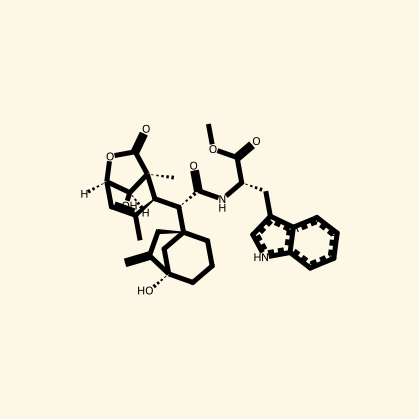 C=C1C[C@@]2([C@@H](C(=O)N[C@@H](Cc3c[nH]c4ccccc34)C(=O)OC)[C@H]3C(C)=C[C@H]4OC(=O)[C@]3(C)[C@H]4O)CCC[C@]1(O)C2